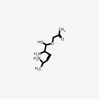 CC(=O)COC(O)C(N)/C=C\C(C)N